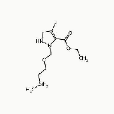 CCOC(=O)C1=C(I)CNN1COCC[SiH2]C